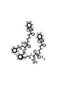 CC(C)CSC[C@@H](SCC(C)C)C(=O)N(C)CCCCC(=O)c1nc2ccccc2o1.O=C(CCCCNC(=O)C(CSCc1ccccc1)CSCc1ccccc1)c1nc2ccccc2o1